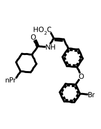 CCCC1CCC(C(=O)N/C(=C\c2ccc(Oc3ccccc3Br)cc2)C(=O)O)CC1